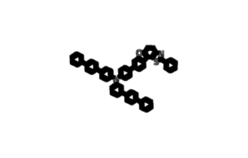 c1ccc(-c2ccc(-c3ccc(N(c4ccc(-c5ccc6c(c5)oc5ccc7nc(-c8ccccc8)sc7c56)cc4)c4cccc(-c5ccc(-c6ccccc6)cc5)c4)cc3)cc2)cc1